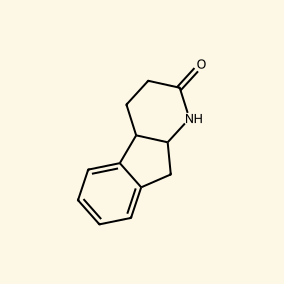 O=C1CCC2c3ccccc3CC2N1